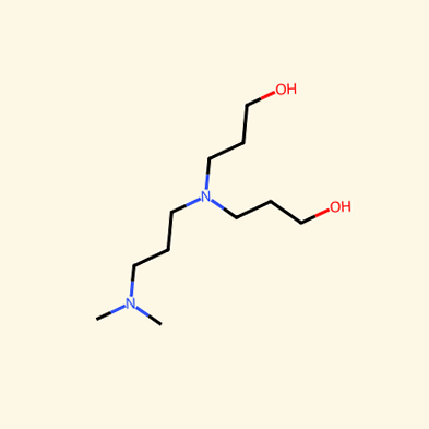 CN(C)CCCN(CCCO)CCCO